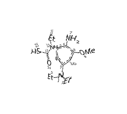 CCN(CC)c1ccc(N)c(OC)c1.CCNC(=O)S